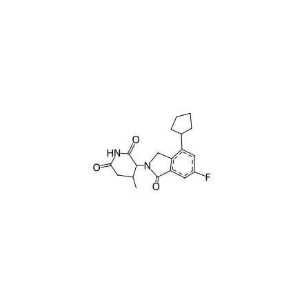 CC1CC(=O)NC(=O)C1N1Cc2c(cc(F)cc2C2CCCC2)C1=O